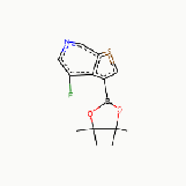 CC1(C)OB(c2csc3cncc(F)c23)OC1(C)C